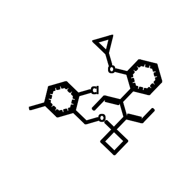 C/C=C(\C(=C/C)C1(OCc2cc(C)ccc2Cl)CCC1)c1ccccc1OC1CC1